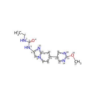 CCNC(=O)Nc1cn2ccc(-c3cnc(OC)nc3)cc2n1